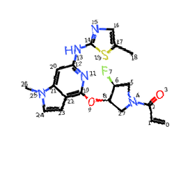 C=CC(=O)N1C[C@H](F)[C@H](Oc2nc(Nc3ncc(C)s3)cc3c2ccn3C)C1